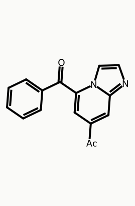 CC(=O)c1cc(C(=O)c2ccccc2)n2ccnc2c1